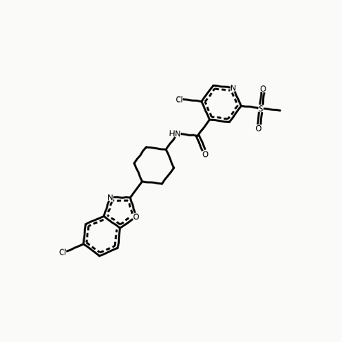 CS(=O)(=O)c1cc(C(=O)NC2CCC(c3nc4cc(Cl)ccc4o3)CC2)c(Cl)cn1